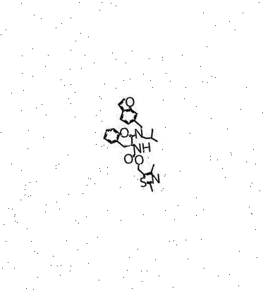 Cc1nc(C)c(COC(=O)N[C@@H](Cc2ccccc2)C(=O)N(Cc2ccc3ccoc3c2)CC(C)C)s1